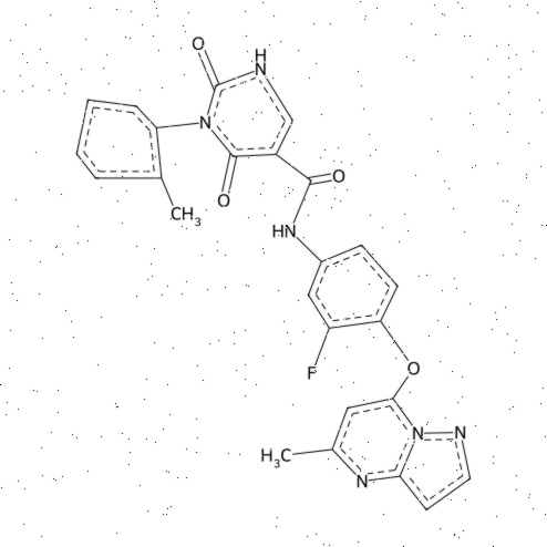 Cc1cc(Oc2ccc(NC(=O)c3c[nH]c(=O)n(-c4ccccc4C)c3=O)cc2F)n2nccc2n1